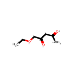 CCOCC(=O)C[C](=O)[AlH2]